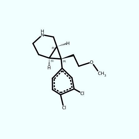 COCC[C@]1(c2ccc(Cl)c(Cl)c2)[C@@H]2CNCC[C@@H]21